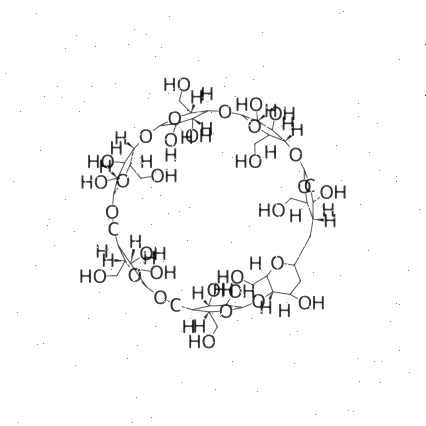 OC[C@H]1OC2OC[C@H]3[C@H](O)[C@@H](O)C(O[C@H]4[C@H](O)CC(C[C@H]5[C@H](O)CC(O[C@H]6[C@H](O)[C@@H](O)C(O[C@H]7[C@H](O)[C@@H](O)C(O[C@H]8[C@H](O)[C@@H](O)C(OC[C@H]1[C@H](O)[C@H]2O)O[C@@H]8CO)O[C@@H]7CO)O[C@@H]6CO)O[C@@H]5CO)O[C@@H]4CO)O[C@@H]3CO